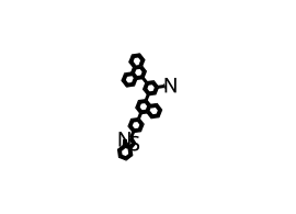 N#Cc1cc(-c2ccc(-c3ccc(-c4nc5ccccc5s4)cc3)c3ccccc23)cc(-c2cc3ccccc3c3ccccc23)c1